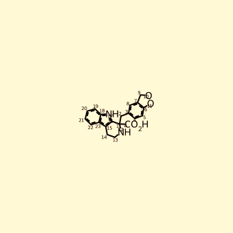 O=C(O)C1(Cc2ccc3c(c2)COO3)NCCc2c1[nH]c1ccccc21